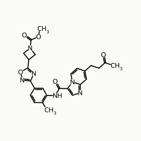 COC(=O)N1CC(c2nc(-c3ccc(C)c(NC(=O)c4cnc5cc(CCC(C)=O)ccn45)c3)no2)C1